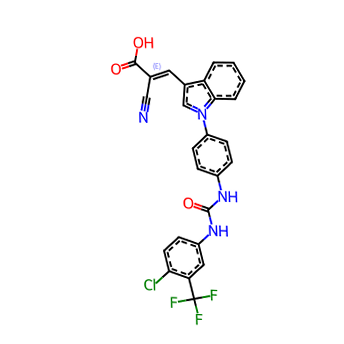 N#C/C(=C\c1cn(-c2ccc(NC(=O)Nc3ccc(Cl)c(C(F)(F)F)c3)cc2)c2ccccc12)C(=O)O